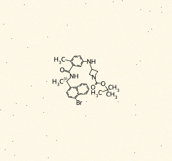 Cc1ccc(NC2CN(C(=O)OC(C)(C)C)C2)cc1C(=O)N[C@@H](C)c1ccc(Br)c2ccccc12